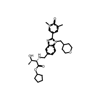 Cc1cc(-c2nc3cc(CN[C@H](C(=O)OC4CCCC4)[C@@H](C)O)ccc3n2CC2CCOCC2)cn(C)c1=O